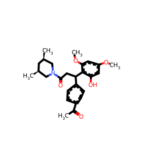 COc1cc(O)c(C(CC(=O)N2C[C@H](C)C[C@H](C)C2)c2ccc(C(C)=O)cc2)c(OC)c1